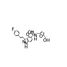 COc1c(C(=O)NCc2ccc(CO)o2)ccc2[nH]nc(/C=C/c3ccc(F)cc3)c12